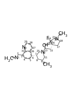 C=NCc1ccc([C@H]2C[C@@H](C)CN(C(=O)C[C@H]3CCN(C)CC3(F)F)C2)c2cccnc12